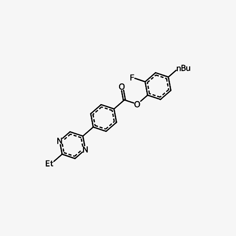 CCCCc1ccc(OC(=O)c2ccc(-c3cnc(CC)cn3)cc2)c(F)c1